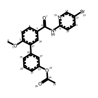 COc1ccc(C(=O)Nc2ccc(Br)cn2)cc1-c1cccc(OC(C)=O)c1